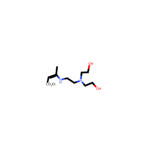 CCOC(=O)C=C(C)NCCN(CCO)CCO